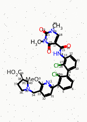 COc1nc(-c2cccc(-c3cccc(NC(=O)c4cn(C)c(=O)n(C)c4=O)c3Cl)c2Cl)ccc1CN1CC[C@@H](C(=O)O)C1